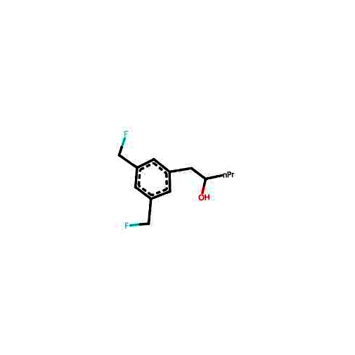 CCCC(O)Cc1cc(CF)cc(CF)c1